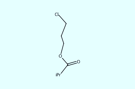 CC(C)C(=O)OCCCCl